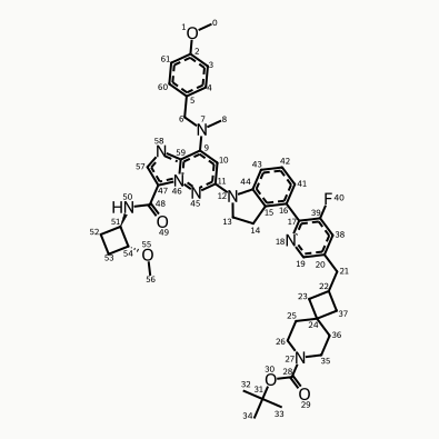 COc1ccc(CN(C)c2cc(N3CCc4c(-c5ncc(CC6CC7(CCN(C(=O)OC(C)(C)C)CC7)C6)cc5F)cccc43)nn3c(C(=O)N[C@@H]4CC[C@H]4OC)cnc23)cc1